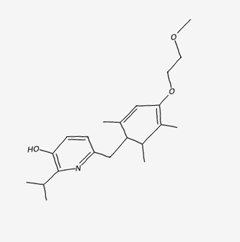 COCCOC1=C(C)C(C)C(Cc2ccc(O)c(C(C)C)n2)C(C)=C1